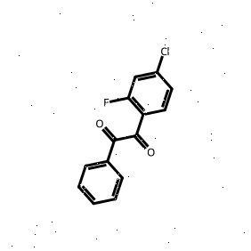 O=C(C(=O)c1ccc(Cl)cc1F)c1ccccc1